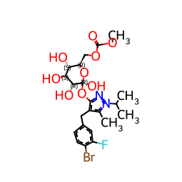 COC(=O)OC[C@H]1O[C@@](O)(Oc2nn(C(C)C)c(C)c2Cc2ccc(Br)c(F)c2)[C@H](O)[C@@H](O)[C@@H]1O